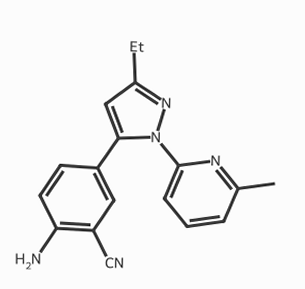 CCc1cc(-c2ccc(N)c(C#N)c2)n(-c2cccc(C)n2)n1